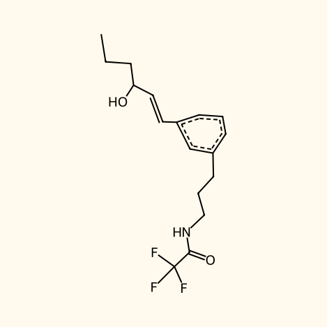 CCCC(O)/C=C/c1cccc(CCCNC(=O)C(F)(F)F)c1